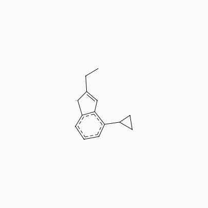 CCC1=Cc2c(cccc2C2CC2)[CH]1